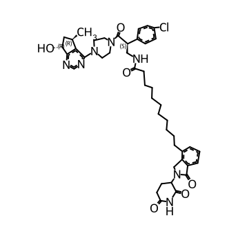 C[C@@H]1C[C@@H](O)c2ncnc(N3CCN(C(=O)[C@H](CNC(=O)CCCCCCCCCCc4cccc5c4CN(C4CCC(=O)NC4=O)C5=O)c4ccc(Cl)cc4)CC3)c21